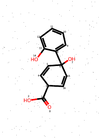 O=C(O)C1C=CC(O)(c2ccccc2O)C=C1